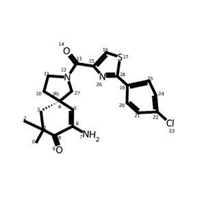 CC1(C)C[C@]2(C=C(N)C1=O)CCN(C(=O)c1csc(-c3ccc(Cl)cc3)n1)C2